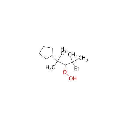 CCC(C)(C)C(OO)C(C)(C)C1CCCC1